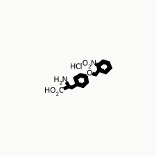 Cl.NC(Cc1ccc(OCc2ccccc2[N+](=O)[O-])cc1)C(=O)O